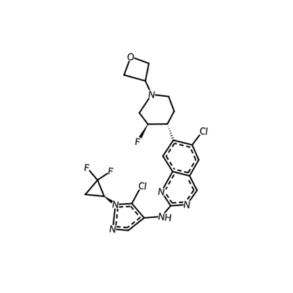 F[C@H]1CN(C2COC2)CC[C@@H]1c1cc2nc(Nc3cnn([C@H]4CC4(F)F)c3Cl)ncc2cc1Cl